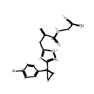 C=C(Cc1nc(C2(c3ccc(Br)cc3)CC2)no1)C(=O)OCC(=O)O